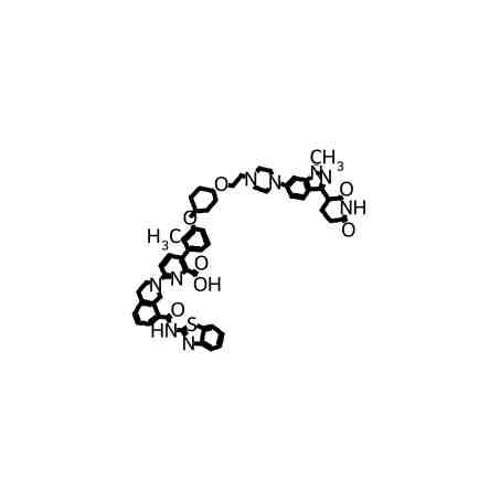 Cc1c(OC2CCC(OCCN3CCN(c4ccc5c(C6CCC(=O)NC6=O)nn(C)c5c4)CC3)CC2)cccc1-c1ccc(N2CCc3cccc(C(=O)Nc4nc5ccccc5s4)c3C2)nc1C(=O)O